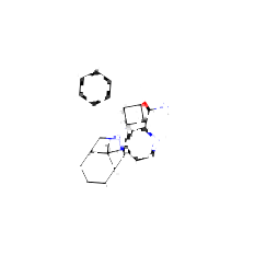 COC1(c2ccnc(C(N)=O)c2)C2CCCC1CN([C@@H]1CC[C@H]1c1ccccc1)C2